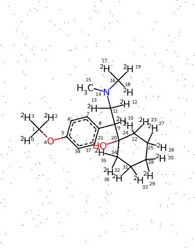 [2H]C([2H])([2H])Oc1ccc(C([2H])(C([2H])([2H])N(C)C([2H])([2H])[2H])C2(O)C([2H])([2H])C([2H])([2H])C([2H])([2H])C([2H])([2H])C2([2H])[2H])cc1